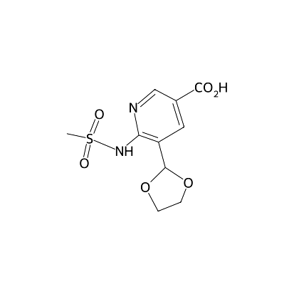 CS(=O)(=O)Nc1ncc(C(=O)O)cc1C1OCCO1